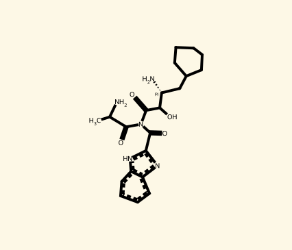 CC(N)C(=O)N(C(=O)c1nc2ccccc2[nH]1)C(=O)C(O)[C@H](N)CC1CCCCC1